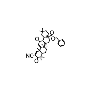 CC1(C)CC[C@]2(C(=O)OCc3ccccc3)CC[C@]3(C)C(C(=O)C=C4[C@@]5(C)C=C(C#N)C(=O)C(C)(C)C5CC[C@]43C)C2C1